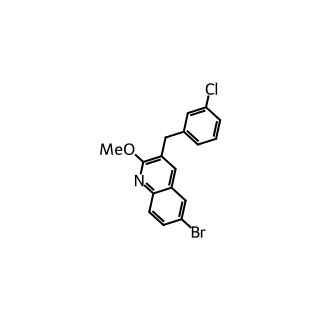 COc1nc2ccc(Br)cc2cc1Cc1cccc(Cl)c1